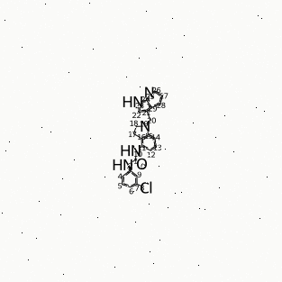 O=C(Nc1cccc(Cl)c1)Nc1cccc2c1CCN2Cc1c[nH]c2ncccc12